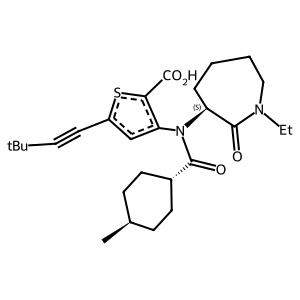 CCN1CCCC[C@H](N(c2cc(C#CC(C)(C)C)sc2C(=O)O)C(=O)[C@H]2CC[C@H](C)CC2)C1=O